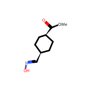 COC(=O)[C@H]1CC[C@@H](C=NO)CC1